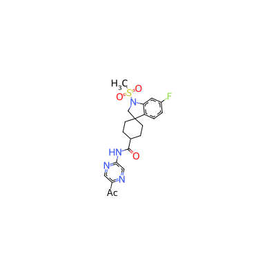 CC(=O)c1cnc(NC(=O)C2CCC3(CC2)CN(S(C)(=O)=O)c2cc(F)ccc23)cn1